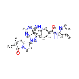 CC(C)=C(C#N)C(=O)N1CCC(n2nc(-c3ccc(C(=O)Nc4cc(C)ccn4)cc3)c3c(N)ncnc32)C1